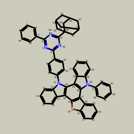 c1ccc(-c2nc(-c3ccc(-n4c5ccccc5c5c6sc7ccccc7c6c6c(c7ccccc7n6-c6ccccc6)c54)cc3)nc(C34CC5CC(CC(C5)C3)C4)n2)cc1